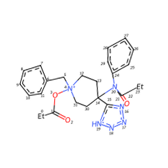 CCC(=O)O[N+]1(Cc2ccccc2)CCC(c2nnn[nH]2)(N(C(=O)CC)c2ccccc2)CC1